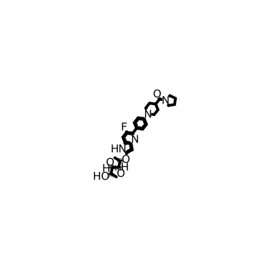 O=C(C1CCN(c2ccc(-c3nc4cc(O[C@@H]5CO[C@H]6[C@@H]5OC[C@H]6O)[nH]c4cc3F)cc2)CC1)N1CCCC1